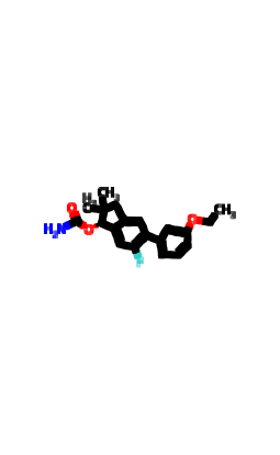 CCOc1cccc(-c2cc3c(cc2F)[C@H](OC(N)=O)C(C)(C)C3)c1